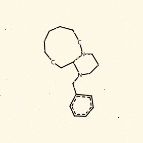 c1ccc(CN2CCCN3CCCCCCCCC32)cc1